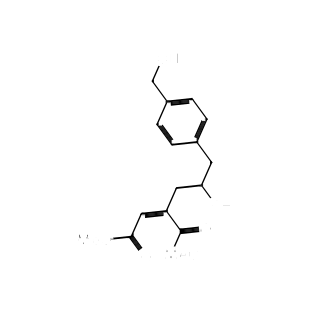 COC(=O)/C=C(/CC(C)Cc1ccc(CO)cc1)C(=O)OC